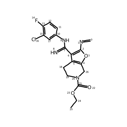 C=Nc1oc2c(c1C(=N)Nc1ccc(F)c(Cl)c1)CCN(C(=O)OCC)C2